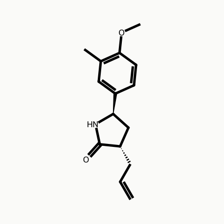 C=CC[C@H]1C[C@H](c2ccc(OC)c(C)c2)NC1=O